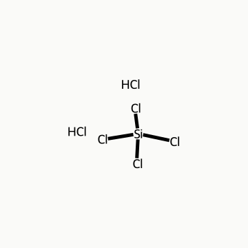 Cl.Cl.Cl[Si](Cl)(Cl)Cl